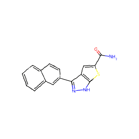 NC(=O)c1cc2c(-c3ccc4ccccc4c3)n[nH]c2s1